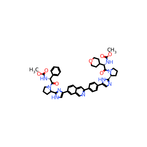 COC(=O)N[C@H](C(=O)N1CCC[C@H]1c1ncc(-c2ccc(-c3cc4ccc(-c5c[nH]c(C6CCCN6C(=O)[C@H](NC(=O)OC)c6ccccc6)n5)cc4cn3)cc2)[nH]1)C1CCOCC1